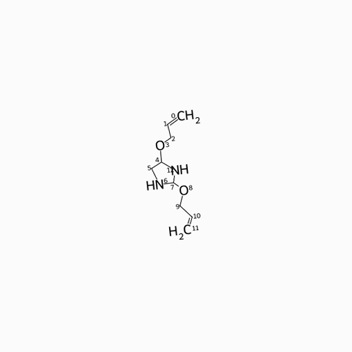 C=CCOC1CNC(OCC=C)N1